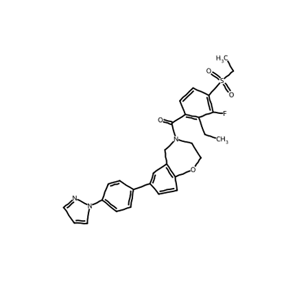 CCc1c(C(=O)N2CCOc3ccc(-c4ccc(-n5cccn5)cc4)cc3C2)ccc(S(=O)(=O)CC)c1F